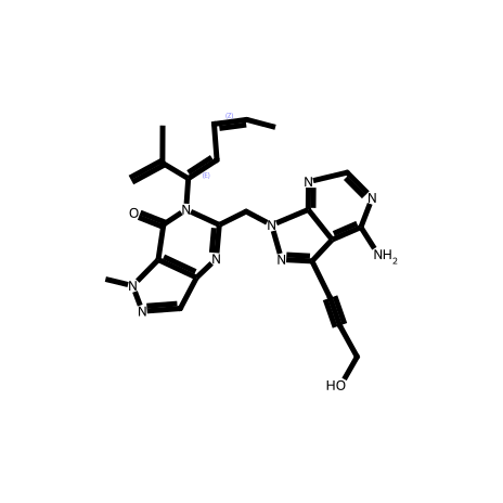 C=C(C)/C(=C\C=C/C)n1c(Cn2nc(C#CCO)c3c(N)ncnc32)nc2cnn(C)c2c1=O